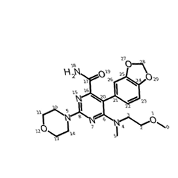 COCCN(C)c1nc(N2CCOCC2)nc(C(N)=O)c1-c1ccc2c(c1)OCO2